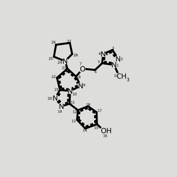 Cn1ncnc1COc1nn2c(-c3ccc(O)cc3)nnc2cc1N1CCCC1